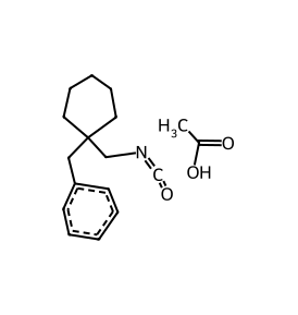 CC(=O)O.O=C=NCC1(Cc2ccccc2)CCCCC1